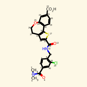 CN(C)C(=O)c1ccc(CNC(=O)c2cc3c(s2)-c2ccc(C(=O)O)cc2OCC3)c(Cl)c1